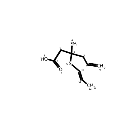 C=CCC(S)(CC(=O)O)SC=CC